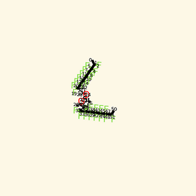 CC(F)C(F)(F)C(F)(F)C(F)(F)C(F)(F)C(F)(F)C(F)(F)[Si](C)(C)O[SiH](C)O[Si](C)(C)C(F)(F)C(F)(F)C(F)(F)C(F)(F)C(F)(F)C(F)(F)C(C)F